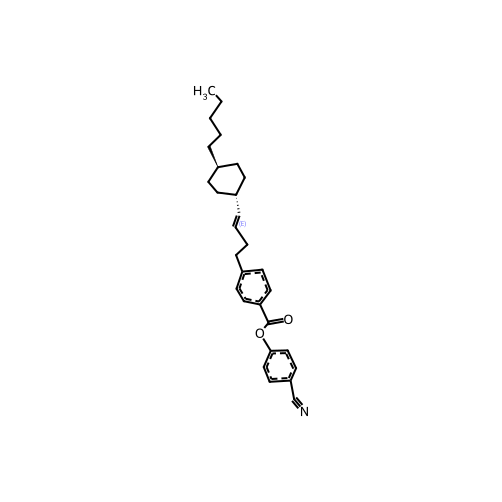 CCCCC[C@H]1CC[C@H](/C=C/CCc2ccc(C(=O)Oc3ccc(C#N)cc3)cc2)CC1